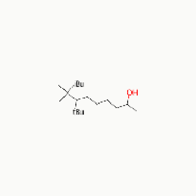 CCC(C)C(C)(C)C(CCCCC(C)O)C(C)(C)C